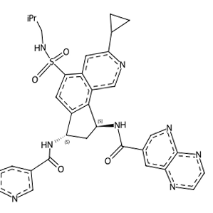 CC(C)CNS(=O)(=O)c1cc2c(c3cnc(C4CC4)cc13)[C@@H](NC(=O)c1cnc3nccnc3c1)C[C@@H]2NC(=O)c1cccnc1